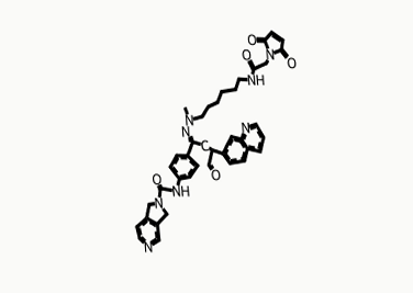 CN(CCCCCCNC(=O)CN1C(=O)C=CC1=O)/N=C(\CC(C=O)c1ccc2cccnc2c1)c1ccc(NC(=O)N2Cc3ccncc3C2)cc1